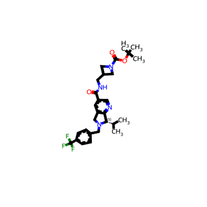 CC(C)[C@H]1c2ncc(C(=O)NCC3CN(C(=O)OC(C)(C)C)C3)cc2CN1Cc1ccc(C(F)(F)F)cc1